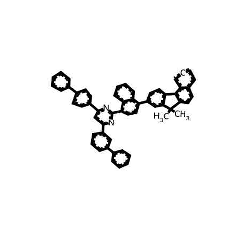 CC1(C)c2cc(-c3ccc(-c4nc(-c5ccc(-c6ccccc6)cc5)cc(-c5cccc(-c6ccccc6)c5)n4)c4ccccc34)ccc2-c2c1ccc1ccccc21